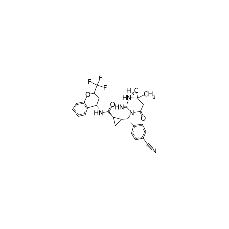 CC1(C)CC(=O)N([C@H](c2ccc(C#N)cc2)C2C[C@H]2C(=O)N[C@H]2CC(C(F)(F)F)Oc3ccccc32)C(=N)N1